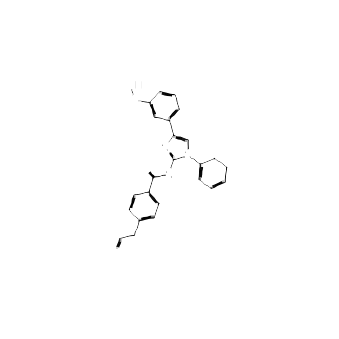 COc1cccc(-c2cn(C3=CC=CCC3)c(NC(=O)c3ccc(CC=O)cc3)n2)c1